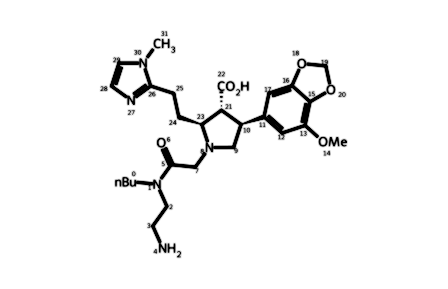 CCCCN(CCN)C(=O)CN1C[C@H](c2cc(OC)c3c(c2)OCO3)[C@@H](C(=O)O)[C@@H]1CCc1nccn1C